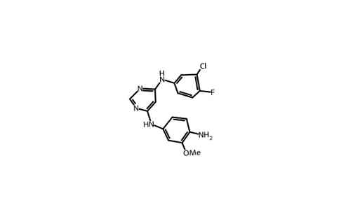 COc1cc(Nc2cc(Nc3ccc(F)c(Cl)c3)ncn2)ccc1N